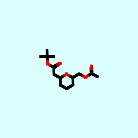 CC(=O)OCC1CCCC(CC(=O)OC(C)(C)C)O1